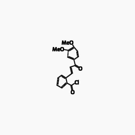 COc1ccc(C(=O)C=Cc2ccccc2C(=O)Cl)cc1OC